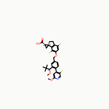 COc1cc(-c2ccc(COc3cc(F)c4c(c3F)[C@]3(CC4)C[C@H]3C(=O)O)cc2[C@@H](OC)C(C)(C)C)c(F)cn1